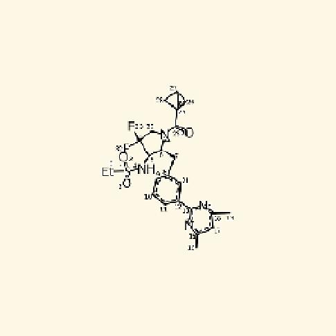 CCS(=O)(=O)N[C@@H]1[C@H](Cc2cccc(-c3nc(C)cc(C)n3)c2)N(C(=O)C23CC(C2)C3)CC1(F)F